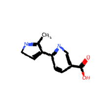 CC1=NCC=C1c1ccc(C(=O)O)cn1